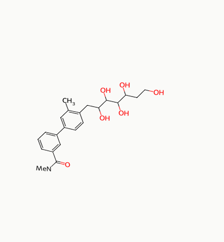 CNC(=O)c1cccc(-c2ccc(CC(O)C(O)C(O)C(O)CCO)c(C)c2)c1